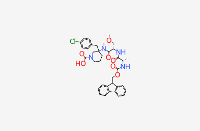 COC[C@H](NC(=O)[C@H](C)NC(=O)OCC1c2ccccc2-c2ccccc21)C(=O)N(C)C1(Cc2ccc(Cl)cc2)CCCN(C(=O)O)C1